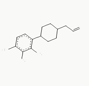 C=CCC1CCC(c2ccc(CCC)c(C#N)c2C#N)CC1